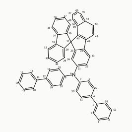 c1ccc(-c2ccc(N(c3ccc(-c4ccccc4)cc3)c3ccc4c(c3)C3(c5ccccc5-c5ccccc53)c3c-4ccc4ccccc34)cc2)cc1